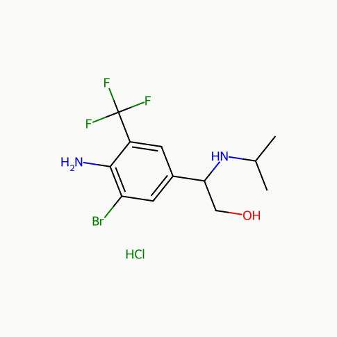 CC(C)NC(CO)c1cc(Br)c(N)c(C(F)(F)F)c1.Cl